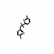 Cc1ccc(CC(C)(C)c2cccc(C)n2)cn1